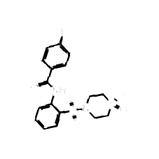 O=C(Nc1ccccc1S(=O)(=O)N1CCS(=O)(=O)CC1)c1ccc(F)cc1